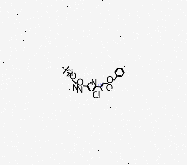 C/C(=C\C(=O)OCc1ccccc1)c1ncc(-c2nnc(CO[Si](C)(C)C(C)(C)C)o2)cc1Cl